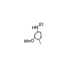 CCNc1ccc(C)c(OC)c1